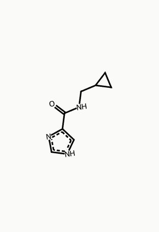 O=C(NCC1CC1)c1c[nH]cn1